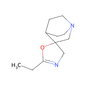 CCC1=NCC2(CN3CCC2CC3)O1